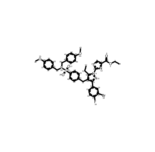 CCOC(=O)c1csc(-n2nc(-c3ccc(F)c(Br)c3)c(Cc3ccc(S(=O)(=O)N(Cc4ccc(OC)cc4)Cc4ccc(OC)cc4)cc3)c2CC)n1